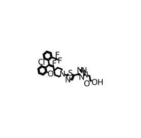 O=C(O)Cn1nnc(-c2cnc(N3CCC4(C=C(c5ccccc5C(F)(F)F)c5c(Cl)cccc5O4)CC3)s2)n1